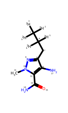 [2H]C([2H])([2H])C([2H])([2H])Cc1nn(C)c(C(N)=O)c1N